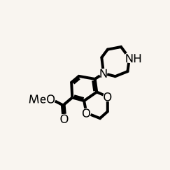 COC(=O)c1ccc(N2CCCNCC2)c2c1OCCO2